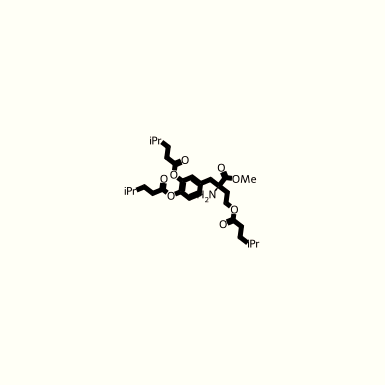 COC(=O)[C@@](N)(CCOC(=O)CCC(C)C)Cc1ccc(OC(=O)CCC(C)C)c(OC(=O)CCC(C)C)c1